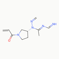 C=CC(=O)N1CC[C@@H](N(N=C)/C(C)=N/C=N)C1